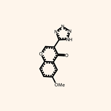 COc1ccc2occ(-c3nnn[nH]3)c(=O)c2c1